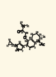 CC(=O)N1c2ccc(-c3cnn(C4CC4)c3)c(OCC(=O)N(C)C)c2CC[C@@H]1C